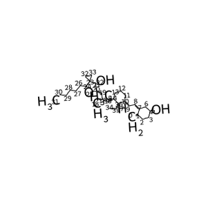 C=C1CC[C@H](O)C/C1=C/C=C1\CCC[C@]2(C)[C@@H]([C@H](C)/C=C/[C@H](O)C3(C(=O)CCCCCC)CC3)CC[C@@H]12